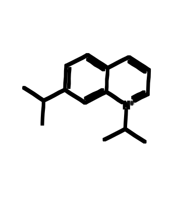 CC(C)c1ccc2ccc[n+](C(C)C)c2c1